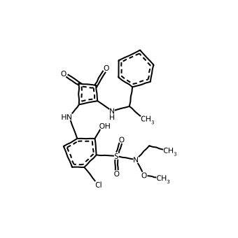 CCN(OC)S(=O)(=O)c1c(Cl)ccc(Nc2c(NC(C)c3ccccc3)c(=O)c2=O)c1O